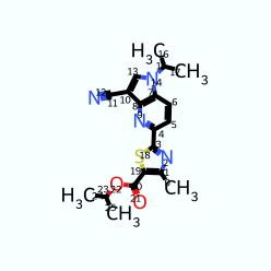 Cc1nc(-c2ccc3c(n2)c(C#N)cn3C(C)C)sc1C(=O)OC(C)C